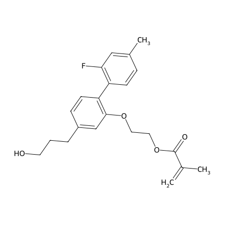 C=C(C)C(=O)OCCOc1cc(CCCO)ccc1-c1ccc(C)cc1F